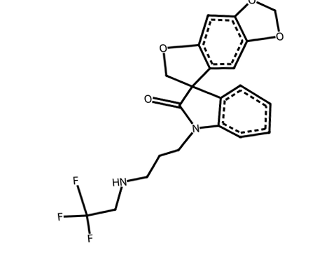 O=C1N(CCCNCC(F)(F)F)c2ccccc2C12COc1cc3c(cc12)OCO3